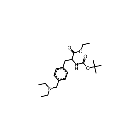 CCOC(=O)C(Cc1ccc(CN(CC)CC)cc1)NC(=O)OC(C)(C)C